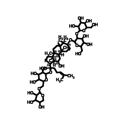 CC(C)=CCC[C@](C)(OC1OC(COC2OCC(O)C(O)C2O)C(O)C(O)C1O)[C@H]1CC[C@]2(C)[C@@H]1[C@H](O)C[C@@H]1[C@@]3(C)CC[C@H](OC4OC(CO)C(O)C(O)C4OC4OC(CO)C(O)C(O)C4O)C(C)(C)C3(I)CC[C@]12C